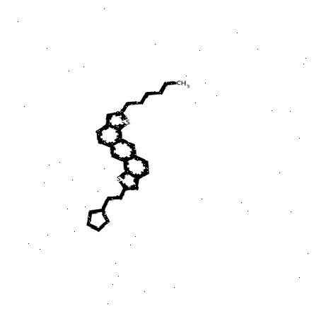 CCCCCCc1cc2ccc3cc4c(ccc5cc(CCC6CCCC6)sc54)cc3c2s1